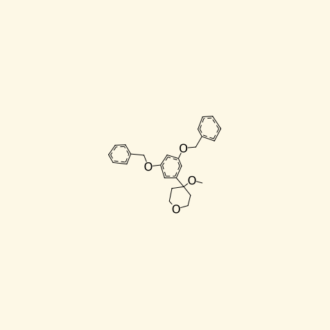 COC1(c2cc(OCc3ccccc3)cc(OCc3ccccc3)c2)CCOCC1